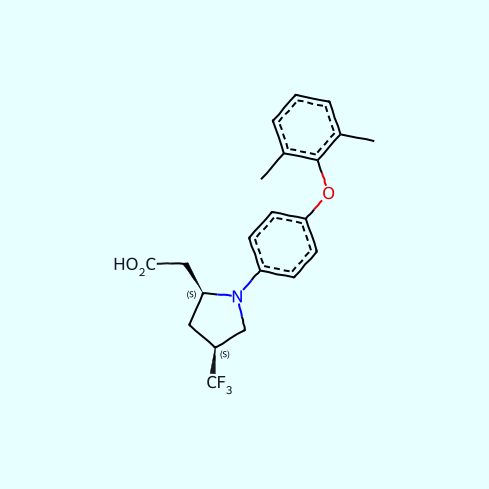 Cc1cccc(C)c1Oc1ccc(N2C[C@@H](C(F)(F)F)C[C@H]2CC(=O)O)cc1